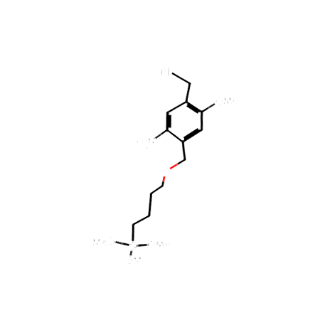 COc1cc(COCCCC[Si](OC)(OC)OC)c([N+](=O)[O-])cc1[CH2][Rf]